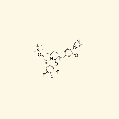 COc1cc(/C=C2\CCC3CC(O[Si](C)(C)C(C)(C)C)C[C@@H](c4cc(F)c(F)c(F)c4)N3C2=O)ccc1-n1cnc(C)c1